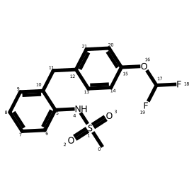 CS(=O)(=O)Nc1ccccc1Cc1ccc(OC(F)F)cc1